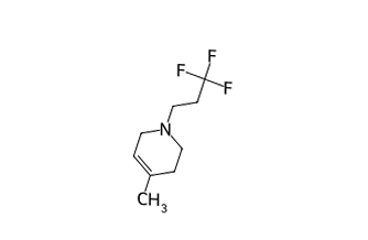 CC1=CCN(CCC(F)(F)F)CC1